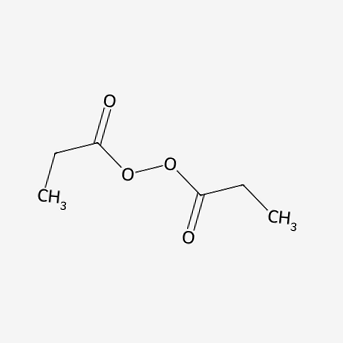 CCC(=O)OOC(=O)CC